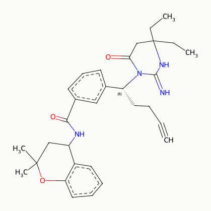 C#CCC[C@H](c1cccc(C(=O)NC2CC(C)(C)Oc3ccccc32)c1)N1C(=N)NC(CC)(CC)CC1=O